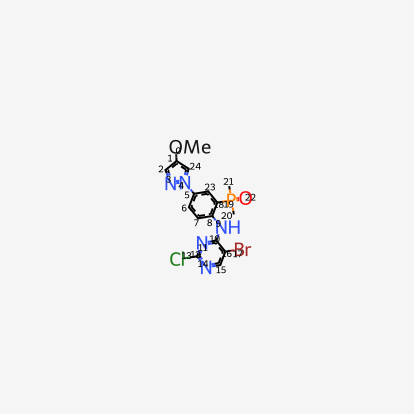 COc1cnn(-c2ccc(Nc3nc(Cl)ncc3Br)c(P(C)(C)=O)c2)c1